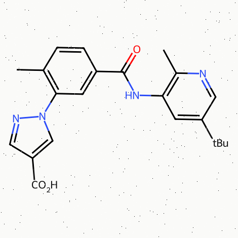 Cc1ccc(C(=O)Nc2cc(C(C)(C)C)cnc2C)cc1-n1cc(C(=O)O)cn1